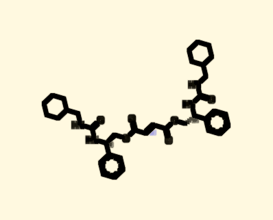 O=C(NCC1CCCCC1)N[C@@H](COC(=O)/C=C/C(=O)OC[C@H](NC(=O)NCC1CCCCC1)c1ccccc1)c1ccccc1